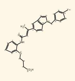 CC(=CC(=O)Nc1ccccc1OCCCC(=O)O)c1ccc2c(ccn2Cc2ccc(F)cc2)c1